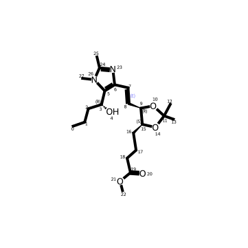 CCC[C@@H](O)c1c(/C=C/[C@H]2OC(C)(C)O[C@H]2CCCC(=O)OC)nc(C)n1C